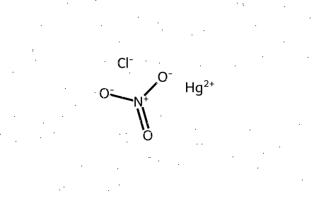 O=[N+]([O-])[O-].[Cl-].[Hg+2]